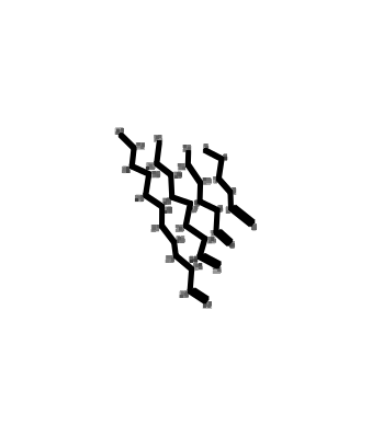 C=CCCCC.C=CCCCCC.C=CCCCCCCC.C=CCCCCCCCCCC